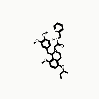 CCC(C)Oc1ccc(OC)c2c1CCN(CC(=O)NCc1ccccn1)C2Cc1ccc(OC)c(OC)c1